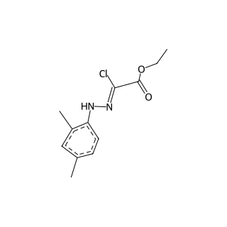 CCOC(=O)/C(Cl)=N/Nc1ccc(C)cc1C